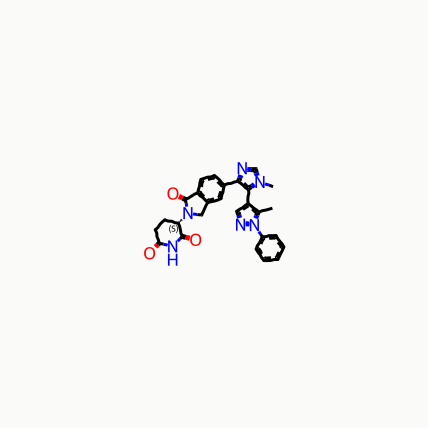 Cc1c(-c2c(-c3ccc4c(c3)CN([C@H]3CCC(=O)NC3=O)C4=O)ncn2C)cnn1-c1ccccc1